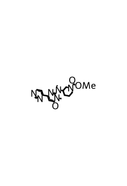 COC(=O)N1CCCC(N(C)c2nc(-c3ccncn3)cc(=O)n2C)C1